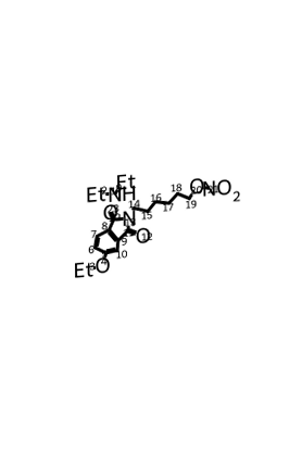 CCNCC.CCOc1ccc2c(c1)C(=O)N(CCCCCCO[N+](=O)[O-])C2=O